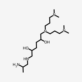 CC(N)CNCC(O)CCC(O)CN(CCCN(C)C)CCCN(C)C